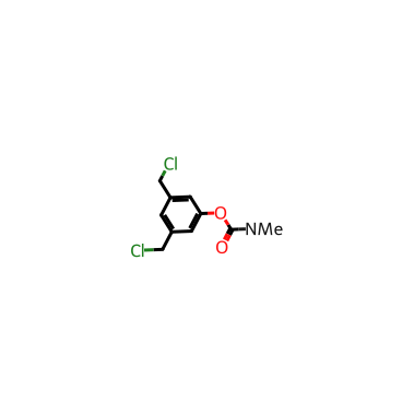 CNC(=O)Oc1cc(CCl)cc(CCl)c1